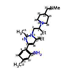 CCC(CN1C(C)=NC(c2ccc(C)cc2N)=CC1CC)N1CCC(CNC)CC1